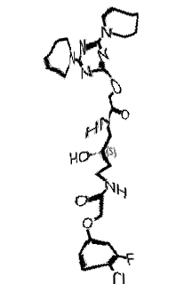 O=C(COc1ccc(Cl)c(F)c1)NCC[C@H](O)CNC(=O)COc1nc(N2CCCCC2)nc(N2CCCCC2)n1